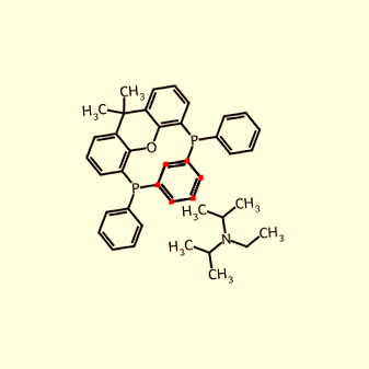 CC1(C)c2cccc(P(c3ccccc3)c3ccccc3)c2Oc2c(P(c3ccccc3)c3ccccc3)cccc21.CCN(C(C)C)C(C)C